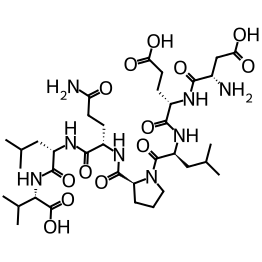 CC(C)C[C@H](NC(=O)[C@H](CCC(N)=O)NC(=O)[C@@H]1CCCN1C(=O)[C@H](CC(C)C)NC(=O)[C@H](CCC(=O)O)NC(=O)[C@@H](N)CC(=O)O)C(=O)N[C@H](C(=O)O)C(C)C